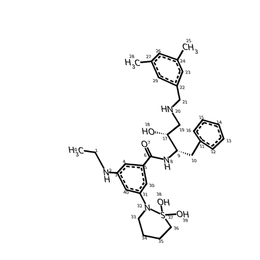 CCNc1cc(C(=O)N[C@@H](Cc2ccccc2)[C@H](O)CNCc2cc(C)cc(C)c2)cc(N2CCCCS2(O)O)c1